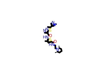 Cc1cc(C(=O)NCCN2[C@H](C)CCC[C@@H]2C)sc1NC(=O)c1cnn2cc(-c3cnn(C)c3)sc12